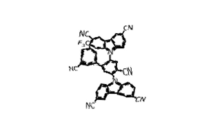 N#Cc1cc(-c2cc(-n3c4ccc(C#N)cc4c4cc(C#N)ccc43)c(C#N)cc2-n2c3ccc(C#N)cc3c3cc(C#N)ccc32)cc(C(F)(F)F)c1